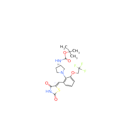 CC(C)(C)OC(=O)N[C@H]1CCN(c2c(/C=C3\SC(=O)NC3=O)cccc2OCC(F)(F)F)C1